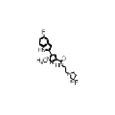 Cn1nc(C(=O)NCCN2CC[C@H](F)C2)cc1-c1cc2cc(F)ccc2[nH]1